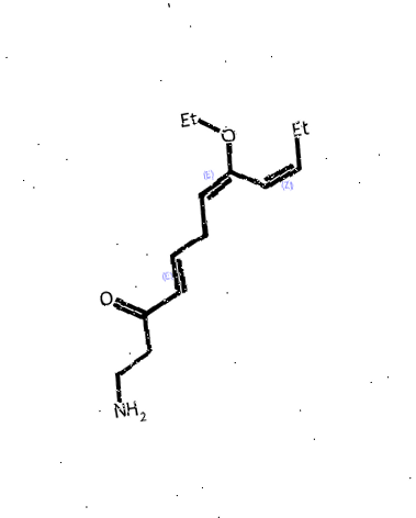 CC/C=C\C(=C/C/C=C/C(=O)CCN)OCC